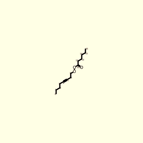 CCCCC#CCCOOC(=O)CCCCC